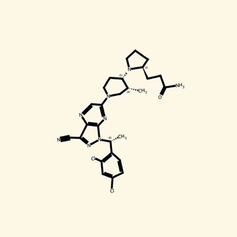 C[C@@H]1CN(c2cnc3c(C#N)nn([C@H](C)c4ccc(Cl)cc4Cl)c3n2)CC[C@@H]1N1CCC[C@H]1CCC(N)=O